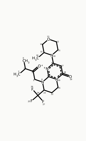 CC(C)C(=O)CN1c2nc(N3CCOCC3C)cc(=O)n2CCC1C(F)(F)F